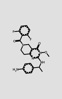 COn1c(NC(C)c2ccc(N)cc2)nc2c(c1=O)CN(C(=O)c1c(F)cccc1F)CC2